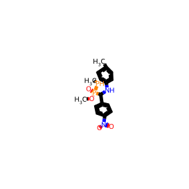 COP(=O)(PC)C(Nc1ccc(C)cc1)c1ccc([N+](=O)[O-])cc1